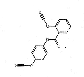 N#COc1ccc(OC(=O)c2ccccc2OC#N)cc1